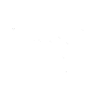 COC/C=C/C(=O)N1CCN(c2nc(OCC3CCCN3C)nc3c2CCN(c2cccc4cccc(C)c24)C3)CC1